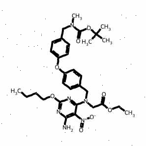 CCCCOc1nc(N)c([N+](=O)[O-])c(N(CC(=O)OCC)Cc2ccc(Oc3ccc(CN(C)C(=O)OC(C)(C)C)cc3)cc2)n1